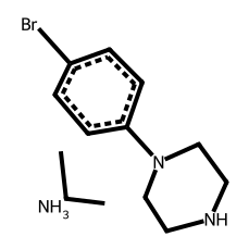 Brc1ccc(N2CCNCC2)cc1.CCC.N